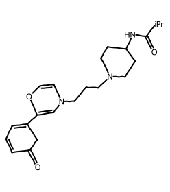 CC(C)C(=O)NC1CCN(CCCN2C=COC(C3=CC=CC(=O)C3)=C2)CC1